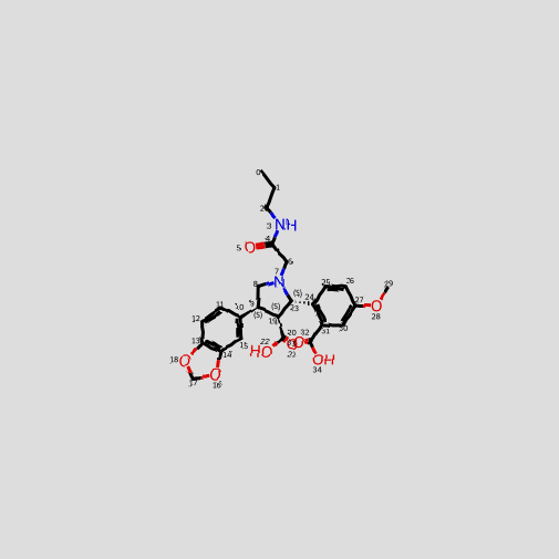 CCCNC(=O)CN1C[C@H](c2ccc3c(c2)OCO3)[C@H](C(=O)O)[C@H]1c1ccc(OC)cc1C(=O)O